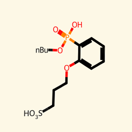 CCCCOP(=O)(O)c1ccccc1OCCCS(=O)(=O)O